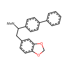 CNC(Cc1ccc2c(c1)OCO2)c1ccc(-c2ccccc2)cc1